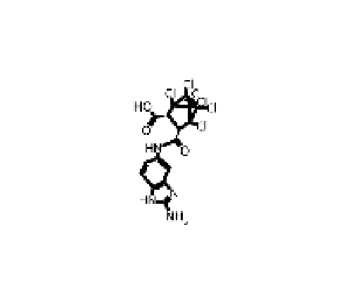 Nc1nc2cc(NC(=O)[C@H]3[C@@H](C(=O)O)C4(Cl)C(Cl)=C(Cl)C3(Cl)C4(Cl)Cl)ccc2[nH]1